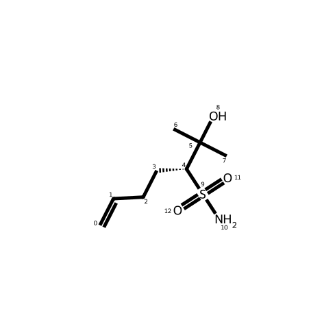 C=CCC[C@H](C(C)(C)O)S(N)(=O)=O